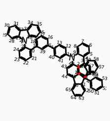 c1ccc(-c2ccccc2N(c2ccc(-c3cccc(-c4ccccc4-n4c5ccccc5c5ccccc54)c3)cc2)c2ccc3c(c2)C(c2ccccc2)(c2ccccc2)c2ccccc2-3)cc1